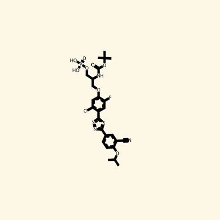 CC(C)Oc1ccc(-c2nnc(-c3cc(F)c(OCC(COP(=O)(O)O)NC(=O)OC(C)(C)C)cc3Cl)s2)cc1C#N